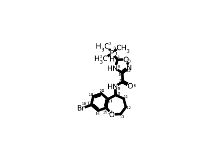 C[PH](C)(C)C1NC(C(=O)NC2CCCOc3cc(Br)ccc32)=NO1